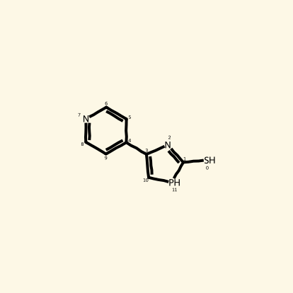 Sc1nc(-c2ccncc2)c[pH]1